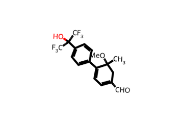 COC1(C)CC(C=O)=CC=C1c1ccc(C(O)(C(F)(F)F)C(F)(F)F)cc1